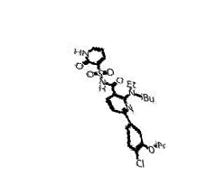 CCC(C)N(CC)c1nc(-c2ccc(Cl)c(OC(C)C)c2)ccc1C(=O)NS(=O)(=O)c1ccc[nH]c1=O